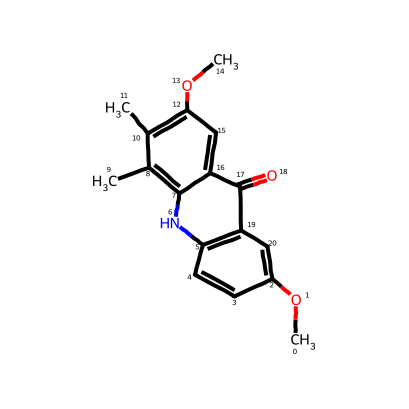 COc1ccc2[nH]c3c(C)c(C)c(OC)cc3c(=O)c2c1